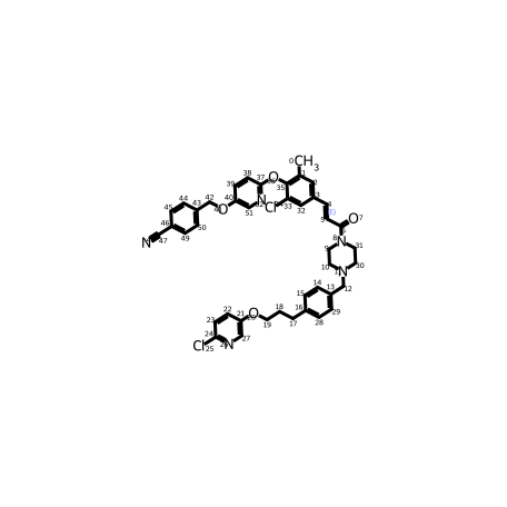 Cc1cc(/C=C/C(=O)N2CCN(Cc3ccc(CCCOc4ccc(Cl)nc4)cc3)CC2)cc(Cl)c1Oc1ccc(OCc2ccc(C#N)cc2)cn1